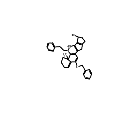 CC12CCCC=C1C(OCc1ccccc1)=CC1=C2N(CCc2ccccc2)NC2=C1CC1=C2C(O)CC1